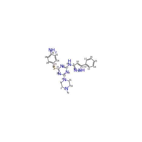 CN1CCN(c2nc(Nc3cc(-c4ccccc4)[nH]n3)nc(Sc3ccc(N)cc3)n2)CC1